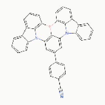 N#Cc1ccc(-c2cc3c4c(c2)-n2c5ccccc5c5cccc(c52)B4c2cccc4c5ccccc5n-3c24)cc1